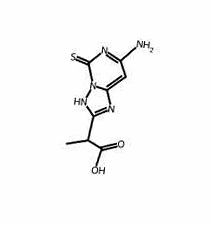 CC(C(=O)O)c1nc2cc(N)nc(=S)n2[nH]1